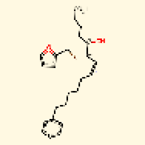 O=C(O)CCC[C@@H](O)[C@H](/C=C\CCCCCc1ccccc1)SCc1ccco1